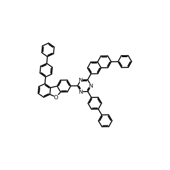 c1ccc(-c2ccc(-c3nc(-c4ccc5ccc(-c6ccccc6)cc5c4)nc(-c4ccc5c(c4)oc4cccc(-c6ccc(-c7ccccc7)cc6)c45)n3)cc2)cc1